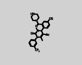 CC(=O)C1=C(C)N(c2cccc(C(F)(F)F)c2)C(=O)N(C)C1c1ccc(C#N)cc1C(=O)N1CCNCC1